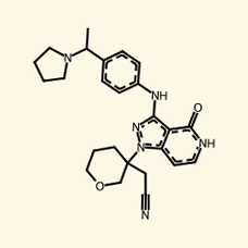 CC(c1ccc(Nc2nn(C3(CC#N)CCCOC3)c3cc[nH]c(=O)c23)cc1)N1CCCC1